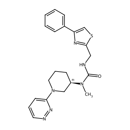 CN(C(=O)NCc1nc(-c2ccccc2)cs1)[C@@H]1CCCN(c2cccnn2)C1